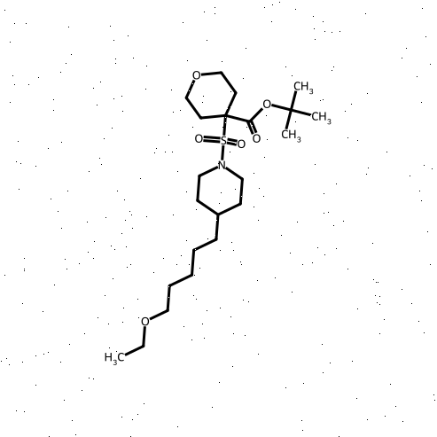 CCOCCCCCC1CCN(S(=O)(=O)C2(C(=O)OC(C)(C)C)CCOCC2)CC1